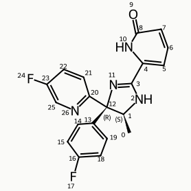 C[C@@H]1NC(c2cccc(=O)[nH]2)=N[C@@]1(c1ccc(F)cc1)c1ccc(F)cn1